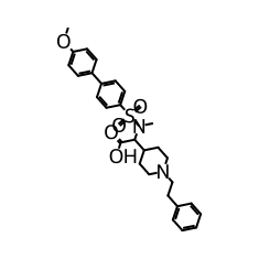 COc1ccc(-c2ccc(S(=O)(=O)N(C)C(C(=O)O)C3CCN(CCc4ccccc4)CC3)cc2)cc1